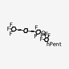 CCCCCc1cc(F)c(C(F)(F)Oc2cc(F)c(C#Cc3ccc(C#Cc4cc(F)c(F)c(F)c4)cc3)c(F)c2)c(F)c1